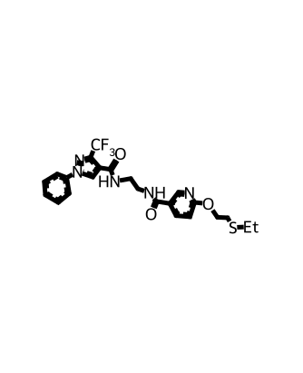 CCSCCOc1ccc(C(=O)NCCNC(=O)c2cn(-c3ccccc3)nc2C(F)(F)F)cn1